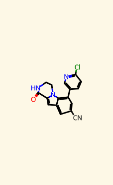 N#Cc1cc(-c2ccc(Cl)nc2)c2c(c1)cc1n2CCNC1=O